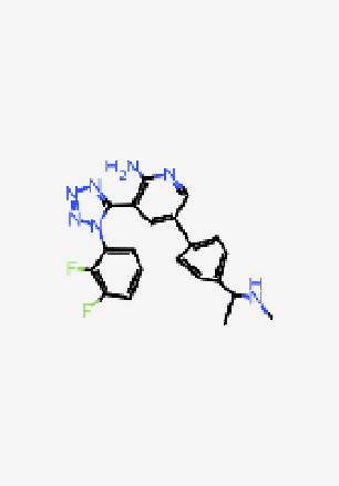 CNC(C)c1ccc(-c2cnc(N)c(-c3nnnn3-c3cccc(F)c3F)c2)cc1